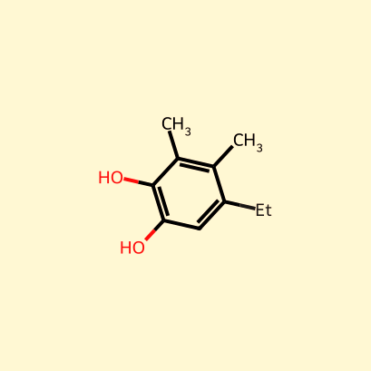 CCc1cc(O)c(O)c(C)c1C